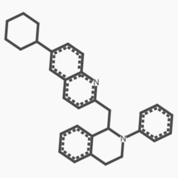 c1ccc(N2CCc3ccccc3C2Cc2ccc3cc(C4CCCCC4)ccc3n2)cc1